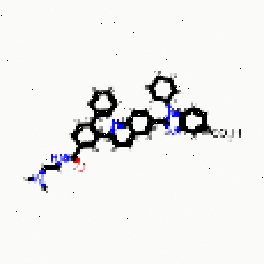 CN(C)CCNC(=O)c1ccc(-c2ccccc2)c(-c2ccc3cc(-c4nc5cc(C(=O)O)ccc5n4C4CCCCC4)ccc3n2)c1